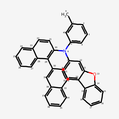 Cc1cccc(N(c2ccc3c(c2)oc2ccccc23)c2ccc3ccccc3c2-c2ccc3ccccc3c2)c1